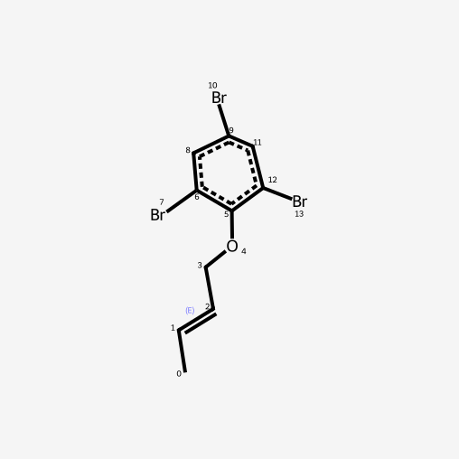 C/C=C/COc1c(Br)cc(Br)cc1Br